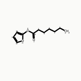 CCCCCCC(=O)Oc1ccco1